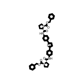 O=C(Nc1ccc(-c2ccc(-c3ccc(NC(=O)[C@@H]4CCCN4C(=O)OCc4ccccc4)cc3)s2)cc1)[C@@H]1CCCN1C(=O)OCc1ccccc1